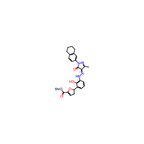 COC(=O)C1=CCC(c2cccc(N/N=C3\C(=O)N(c4ccc5c(c4)CCCC5)N=C3C)c2O)O1